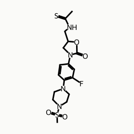 CC(=S)NCC1CN(c2ccc(N3CCN(S(C)(=O)=O)CC3)c(F)c2)C(=O)O1